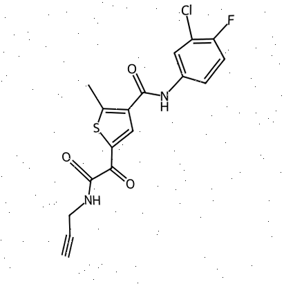 C#CCNC(=O)C(=O)c1cc(C(=O)Nc2ccc(F)c(Cl)c2)c(C)s1